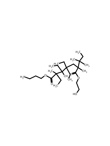 CCC(C)(C)C(C)(CC(CC)(CC)C(C)(CC)C(C)(CC)C(=O)OCCCN)C(=O)OCCO